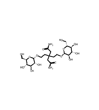 NC(=O)CC(CCO[C@H]1O[C@H](CO)[C@@H](O)[C@H](O)[C@H]1O)(CCO[C@H]1O[C@H](CO)[C@@H](O)[C@H](O)[C@H]1O)CC(N)=O